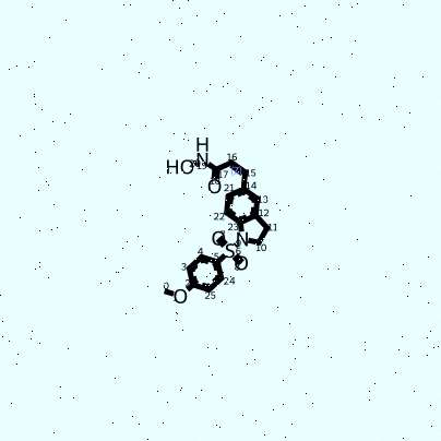 COc1ccc(S(=O)(=O)N2CCc3cc(/C=C\C(=O)NO)ccc32)cc1